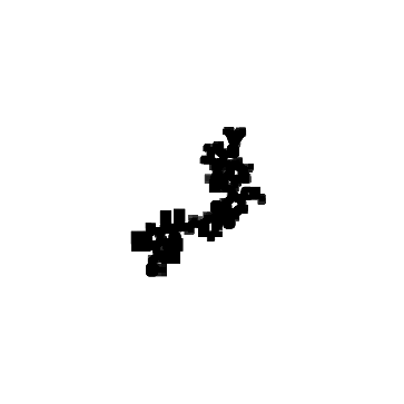 Cc1ccc(S(=O)(=O)N(C)CCCCNC(=O)N[C@@H](CO)[C@@H](O)[C@H](O)[C@H](O)CO)cc1CNC1(c2cnccc2-c2ccccc2OC2CC2)CC1